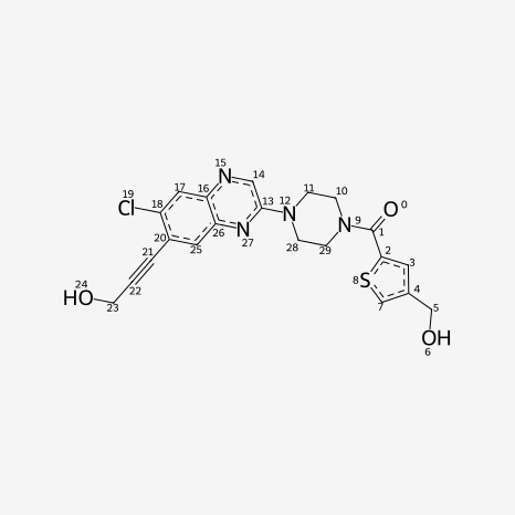 O=C(c1cc(CO)cs1)N1CCN(c2cnc3cc(Cl)c(C#CCO)cc3n2)CC1